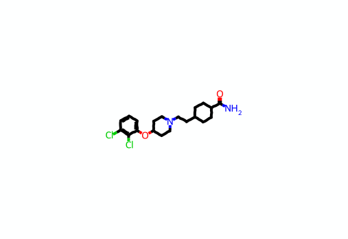 NC(=O)C1CCC(CCN2CCC(Oc3cccc(Cl)c3Cl)CC2)CC1